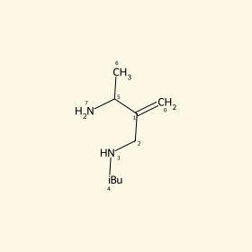 C=C(CNC(C)CC)C(C)N